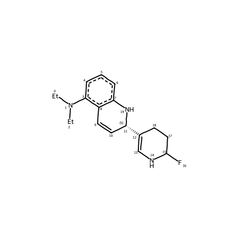 CCN(CC)c1cccc2c1C=C[C@@H](C1=CNC(F)CC1)N2